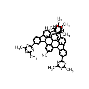 Cc1nc(C)nc(-c2ccc3c(c2)C(c2cc(C#N)cc(C4c5cc(-c6nc(C)nc(C)n6)ccc5-c5ccc(-c6nc(C)nc(C)n6)cc54)c2-c2c(C(F)(F)F)cccc2C(F)(F)F)c2cc(-c4nc(C)nc(C)n4)ccc2-3)n1